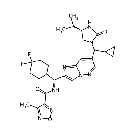 Cc1nonc1C(=O)N[C@H](c1cn2ncc(C(C3CC3)N3C[C@@H](C(C)C)NC3=O)cc2n1)C1CCC(F)(F)CC1